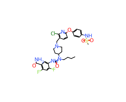 CCCCN(C(=O)Nc1cc(C(N)=O)c(F)cc1F)C1CCN(Cc2ccc(Oc3ccc(NS(C)(=O)=O)cc3)nc2Cl)CC1